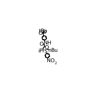 CCCCC(OC(CC(C)C)C(=O)Nc1ccc(C(=O)OC(C)(C)C)cc1)Sc1ccc([N+](=O)[O-])cc1